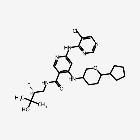 CC(C)(O)[C@H](F)CNC(=O)c1cnc(Nc2ncncc2Cl)cc1NC1CCC(C2CCCC2)OC1